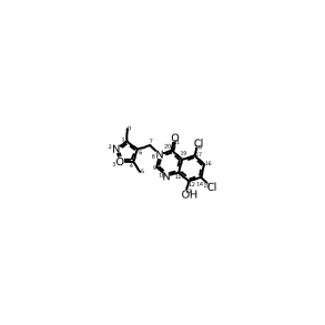 Cc1noc(C)c1Cn1cnc2c(O)c(Cl)cc(Cl)c2c1=O